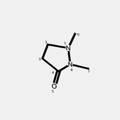 CN1CCC(=O)N1C